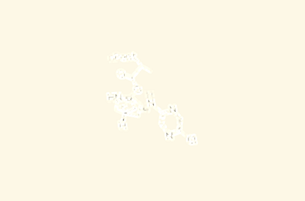 CCCCCC(C)C(=O)O[C@]12C[C@@H](CN1)C[C@H]2Nc1cnc(Cl)cn1